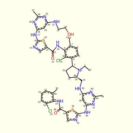 CCN1C(c2ccc(C)c(NC(=O)c3cnc(Nc4cc(NCCO)nc(C)n4)s3)c2Cl)CC[C@@H]1CNc1cc(Nc2ncc(C(=O)Nc3c(C)cccc3Cl)s2)nc(C)n1